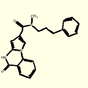 CN(CCCc1ccccc1)C(=O)c1cc2[nH]c(=O)c3ccccc3n2c1